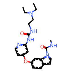 CCN(CC)CCNC(=O)Nc1cc(Oc2ccc3ccn(C(=O)NC)c3c2)ccn1